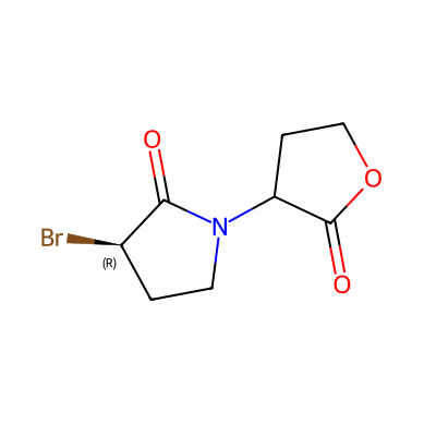 O=C1OCCC1N1CC[C@@H](Br)C1=O